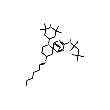 [CH2]CCCC/[C]=N/C1CCN(C2CC(C)(C)NC(C)(C)C2)C2(C1)C1=NC(NC(C)(C)CC(C)(C)C)=NC2=N1